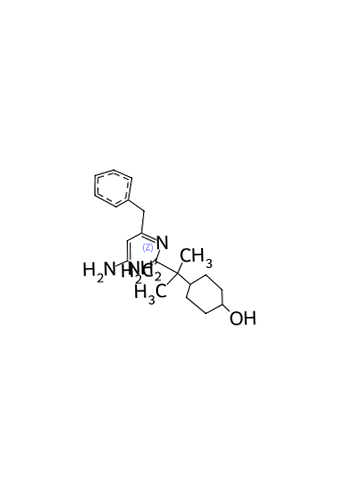 C=C(/N=C(\C=C(N)N)Cc1ccccc1)C(C)(C)C1CCC(O)CC1